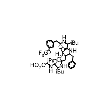 CCC(C)C(NC(=O)Cc1cccc(OC(F)(F)F)c1)C(=O)N[C@@H](Cc1ccccc1)[C@@H](N)CC(=O)N[C@H](C(=O)NC(C(=O)O)C(C)C)[C@@H](C)CC